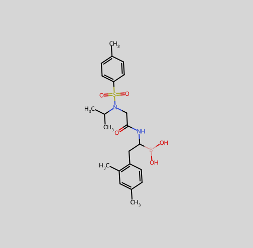 Cc1ccc(S(=O)(=O)N(CC(=O)NC(Cc2ccc(C)cc2C)B(O)O)C(C)C)cc1